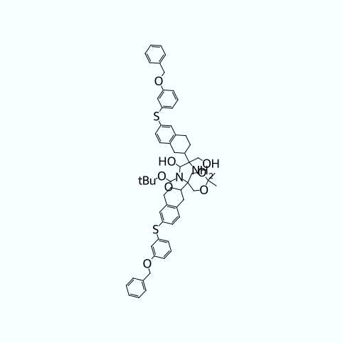 CC(C)(C)OC(=O)N(C(O)C(N)(CO)C1CCc2cc(Sc3cccc(OCc4ccccc4)c3)ccc2C1)C1(C2CCc3cc(Sc4cccc(OCc5ccccc5)c4)ccc3C2)COC(C)(C)OC1